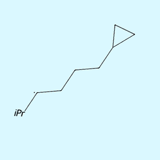 CC(C)[CH]CCCC1CC1